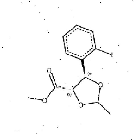 COC(=O)[C@H]1OC(C)O[C@@H]1c1ccccc1I